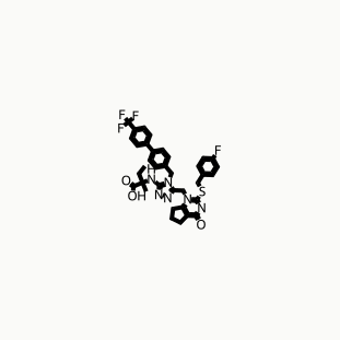 CCC(C)(Nc1nnc(Cn2c(SCc3ccc(F)cc3)nc(=O)c3c2CCC3)n1Cc1ccc(-c2ccc(C(F)(F)F)cc2)cc1)C(=O)O